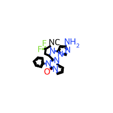 N#Cc1c(N)ncnc1N1CC(F)(F)CC1c1nc2cccn2c(=O)n1-c1ccccc1